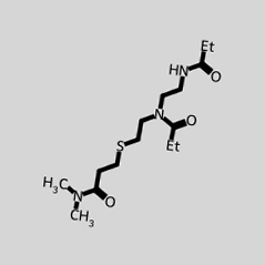 CCC(=O)NCCN(CCSCCC(=O)N(C)C)C(=O)CC